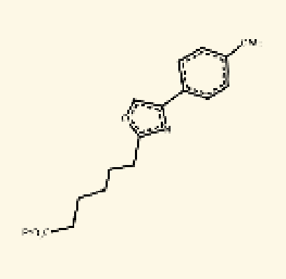 CCOC(=O)CCCCCc1nc(-c2ccc(OC)cc2)co1